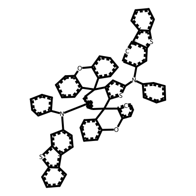 c1ccc(N(c2ccc3c(c2)sc2ccccc23)c2cc3c(s2)C2(c4ccccc4Oc4ccccc42)c2cc(N(c4ccccc4)c4ccc5c(c4)sc4ccccc45)sc2C32c3ccccc3Oc3ccccc32)cc1